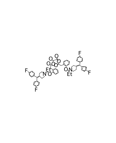 CCC(Oc1ccccc1CC(=O)OC(=O)C(=O)OC(=O)Cc1ccccc1OC(CC)N1CCC(=C(c2ccc(F)cc2)c2ccc(F)cc2)CC1)N1CCC(=C(c2ccc(F)cc2)c2ccc(F)cc2)CC1